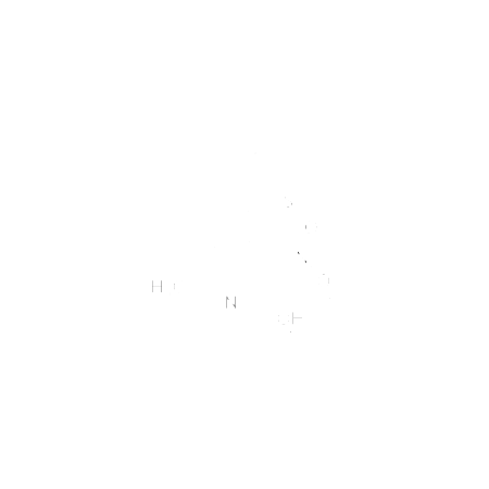 Cc1cc(-c2cccs2)c([N+](=O)[O-])c(O)n1